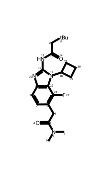 CN(C)C(=O)Cc1ccc2nc(NC(=O)CC(C)(C)C)n(C3CCC3)c2c1F